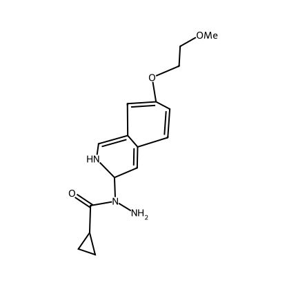 COCCOc1ccc2c(c1)=CNC(N(N)C(=O)C1CC1)C=2